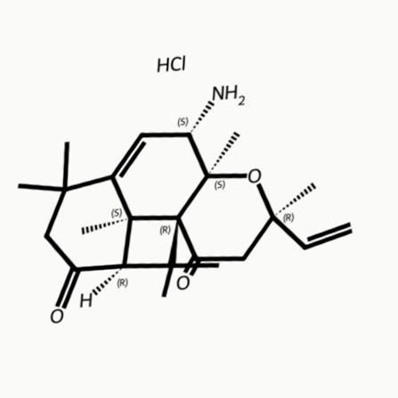 C=C[C@@]1(C)CC(=O)[C@@]23C(C)(C)[C@H]4C(=O)CC(C)(C)C(=C[C@H](N)[C@@]2(C)O1)[C@]43C.Cl